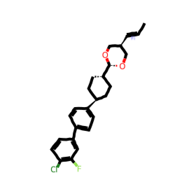 C/C=C/[C@H]1CO[C@H]([C@H]2CC[C@H](c3ccc(-c4ccc(Cl)c(F)c4)cc3)CC2)OC1